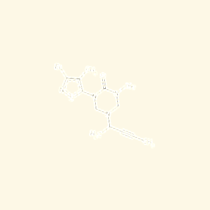 CC#CC(C)N1CN(c2snc(CC)c2C)C(=O)N(C(C)(C)C)C1